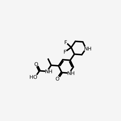 CC(NC(=O)O)c1cc(C2CNCCC2(F)F)c[nH]c1=O